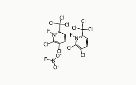 F[n+]1c(C(Cl)(Cl)Cl)ccc(Cl)c1Cl.F[n+]1c(C(Cl)(Cl)Cl)ccc(Cl)c1Cl.[O-]B([O-])F